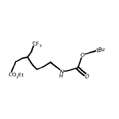 CCOC(=O)CC(CCNC(=O)OC(C)(C)C)C(F)(F)F